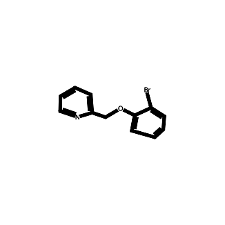 Brc1ccccc1OCc1ccccn1